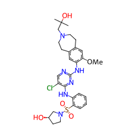 COc1cc2c(cc1Nc1ncc(Cl)c(Nc3ccccc3S(=O)(=O)N3CC[C@@H](O)C3)n1)CCN(CC(C)(C)O)CC2